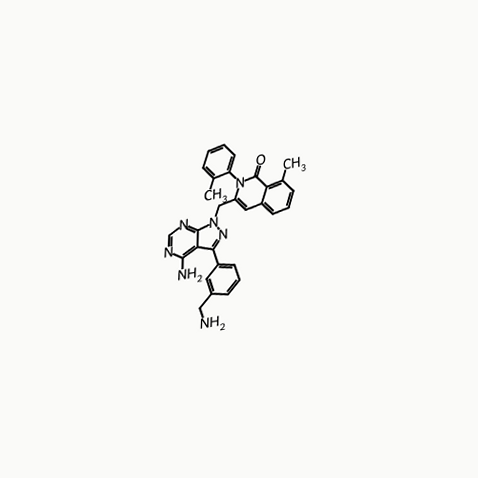 Cc1ccccc1-n1c(Cn2nc(-c3cccc(CN)c3)c3c(N)ncnc32)cc2cccc(C)c2c1=O